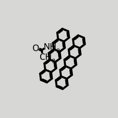 CC(N)=O.c1ccc2cc3cc4cc5ccccc5cc4cc3cc2c1.c1ccc2cc3cc4cc5ccccc5cc4cc3cc2c1